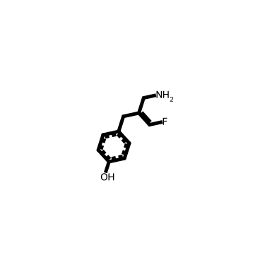 NCC(=CF)Cc1ccc(O)cc1